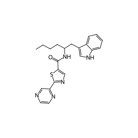 CCCCC(Cc1c[nH]c2ccccc12)NC(=O)c1cnc(-c2cnccn2)s1